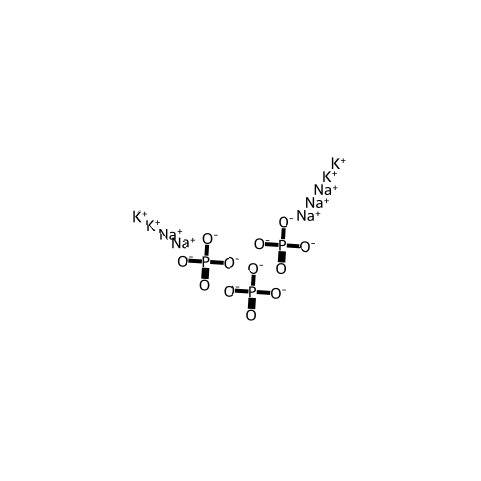 O=P([O-])([O-])[O-].O=P([O-])([O-])[O-].O=P([O-])([O-])[O-].[K+].[K+].[K+].[K+].[Na+].[Na+].[Na+].[Na+].[Na+]